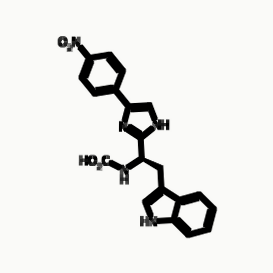 O=C(O)N[C@H](Cc1c[nH]c2ccccc12)c1nc(-c2ccc([N+](=O)[O-])cc2)c[nH]1